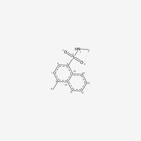 [CH2]NS(=O)(=O)c1ccc(C)c2ccccc12